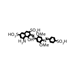 COc1cc(N=Nc2c(S(=O)(=O)O)cc3cc(S(=O)(=O)O)cc(N)c3c2O)c(OC)cc1N=Nc1ccc(S(=O)(=O)O)cc1